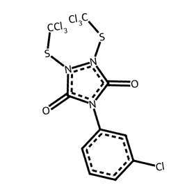 O=c1n(-c2cccc(Cl)c2)c(=O)n(SC(Cl)(Cl)Cl)n1SC(Cl)(Cl)Cl